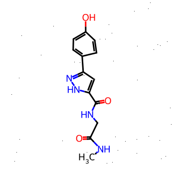 CNC(=O)CNC(=O)c1cc(-c2ccc(O)cc2)n[nH]1